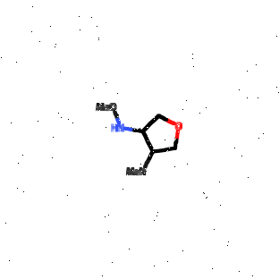 CNC1COCC1NOC